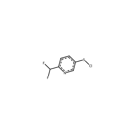 FC(F)c1ccc(SCl)cn1